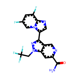 NC(=O)c1cc2c(cn1)c(-c1cnc3c(F)cc(F)cn13)nn2CC(F)(F)F